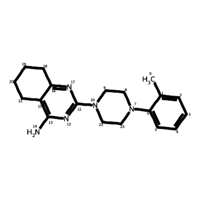 Cc1ccccc1N1CCN(c2nc(N)c3c(n2)CCCC3)CC1